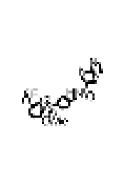 COc1ccc(OC(F)(F)F)cc1S(=O)(=O)c1ccc(CNC(=O)c2cnc3nccn3c2)cc1